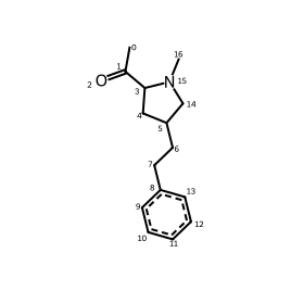 CC(=O)C1CC(CCc2ccccc2)CN1C